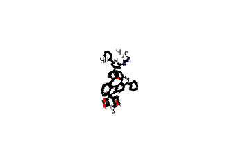 C/C=C\C=C\c1cc(-c2ccc(-c3cccc4c3-c3c(ccc5c(-c6ccccc6)nc6ccccc6c35)C43c4ccccc4Sc4ccccc43)cc2)cc(C2C=CC=CN2)n1